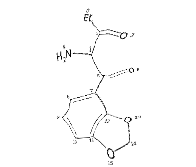 CCC(=O)C(N)C(=O)c1cccc2c1OCO2